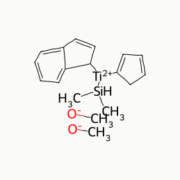 C[O-].C[O-].C[SiH](C)[Ti+2]([C]1=CC=CC1)[CH]1C=Cc2ccccc21